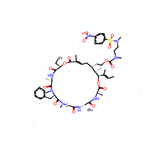 C/C=C(\C)[C@H]1OC(=O)[C@@H](C)NC(=O)[C@H]([C@H](C)CC)NC(=O)CN(C)C(=O)[C@@H](Cc2ccccc2)N(C)C(=O)[C@H](C)NC(=O)[C@@H](CC(C)C)OC(=O)/C(C)=C/C[C@H](CCOC(=O)N(C)CCN(C)S(=O)(=O)c2ccc([N+](=O)O)cc2)[C@@H]1C